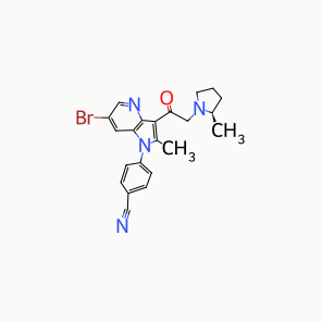 Cc1c(C(=O)CN2CCC[C@H]2C)c2ncc(Br)cc2n1-c1ccc(C#N)cc1